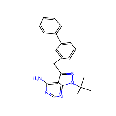 CC(C)(C)n1nc(Cc2cccc(-c3ccccc3)c2)c2c(N)ncnc21